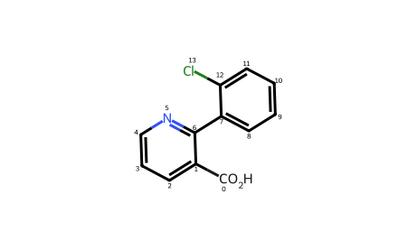 O=C(O)c1cccnc1-c1ccccc1Cl